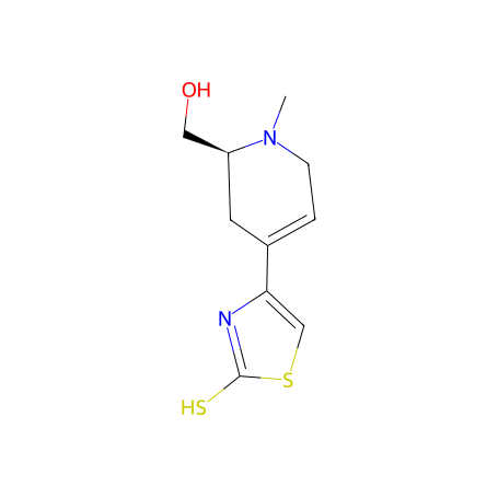 CN1CC=C(c2csc(S)n2)C[C@H]1CO